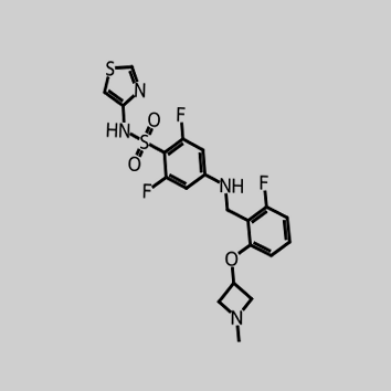 CN1CC(Oc2cccc(F)c2CNc2cc(F)c(S(=O)(=O)Nc3cscn3)c(F)c2)C1